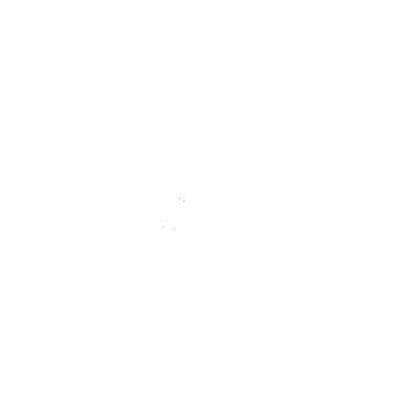 CCOCCCC(N)/C=C\C(C)C